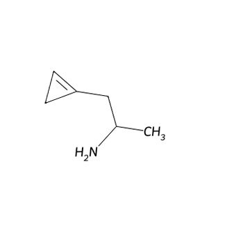 CC(N)CC1=CC1